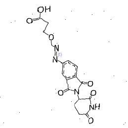 O=C(O)CCOC/N=N/c1ccc2c(c1)C(=O)N(C1CCC(=O)NC1=O)C2=O